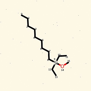 CCCCCCCCC[Si](CC)(CC)OC